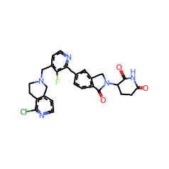 O=C1CCC(N2Cc3cc(-c4nccc(CN5CCc6c(ccnc6Cl)C5)c4F)ccc3C2=O)C(=O)N1